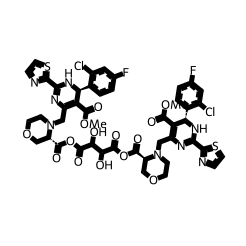 COC(=O)C1=C(CN2CCOC[C@H]2C(=O)OC(=O)C(O)C(O)C(=O)OC(=O)[C@@H]2COCCN2CC2=C(C(=O)OC)[C@H](c3ccc(F)cc3Cl)NC(c3nccs3)=N2)N=C(c2nccs2)N[C@H]1c1ccc(F)cc1Cl